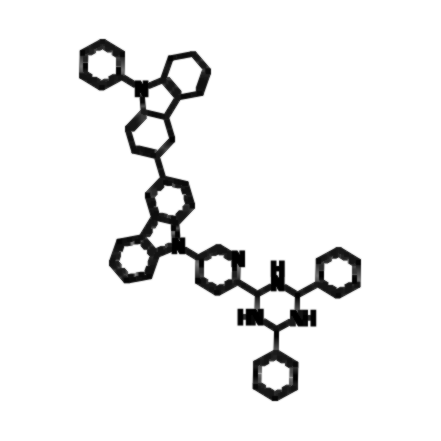 C1=CC2=C(CC1)N(c1ccccc1)C1=CC=C(c3ccc4c(c3)c3ccccc3n4-c3ccc(C4NC(c5ccccc5)NC(c5ccccc5)N4)nc3)CC12